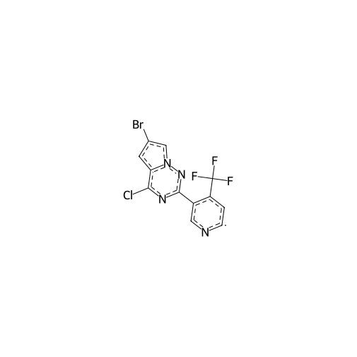 FC(F)(F)c1c[c]ncc1-c1nc(Cl)c2cc(Br)cn2n1